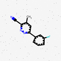 Cc1cc(-c2cccc(F)c2)nnc1C#N